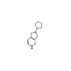 C1=CC2=C(CN1)CN(C1CCCC1)C2